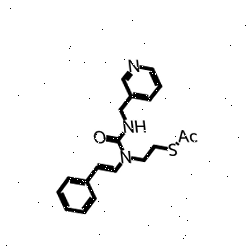 CC(=O)SCCN(C=Cc1ccccc1)C(=O)NCc1cccnc1